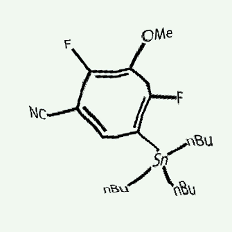 CCC[CH2][Sn]([CH2]CCC)([CH2]CCC)[c]1cc(C#N)c(F)c(OC)c1F